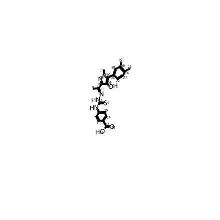 C/C(=N\NC(=S)Nc1ccc(C(=O)O)cc1)c1nn(C)c(-c2ccc(C)c(C)c2)c1O